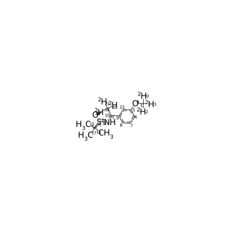 [2H]C([2H])([2H])Oc1cccc([C@H](N[S@@+]([O-])C(C)(C)C)C([2H])([2H])[2H])c1